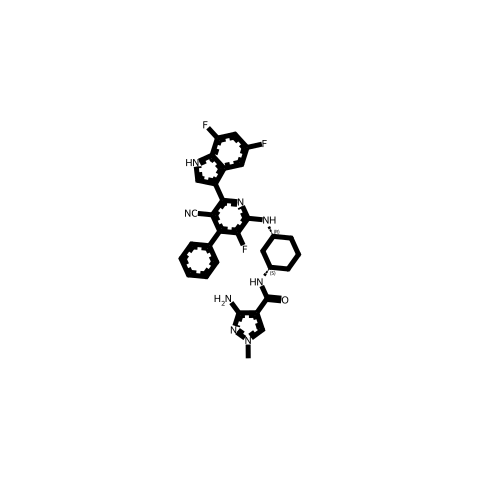 Cn1cc(C(=O)N[C@H]2CCC[C@@H](Nc3nc(-c4c[nH]c5c(F)cc(F)cc45)c(C#N)c(-c4ccccc4)c3F)C2)c(N)n1